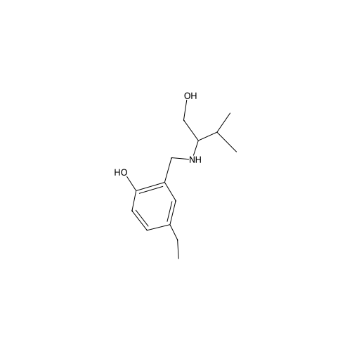 CCc1ccc(O)c(CNC(CO)C(C)C)c1